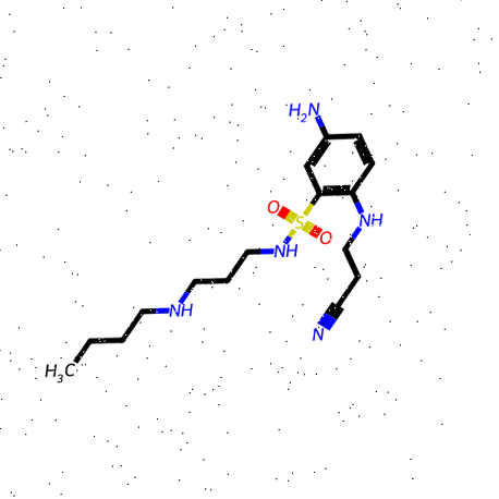 CCCCNCCCNS(=O)(=O)c1cc(N)ccc1NCCC#N